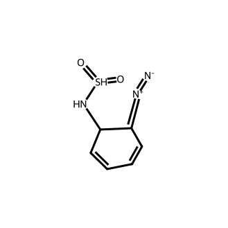 [N-]=[N+]=C1C=CC=CC1N[SH](=O)=O